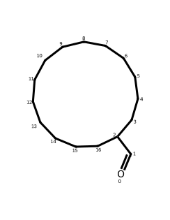 O=[C]C1CCCCCCCCCCCCCC1